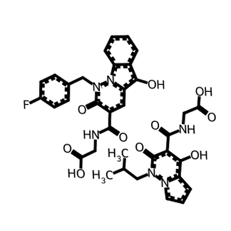 CC(C)Cn1c(=O)c(C(=O)NCC(=O)O)c(O)c2cccn21.O=C(O)CNC(=O)c1cc2c(O)c3ccccc3n2n(Cc2ccc(F)cc2)c1=O